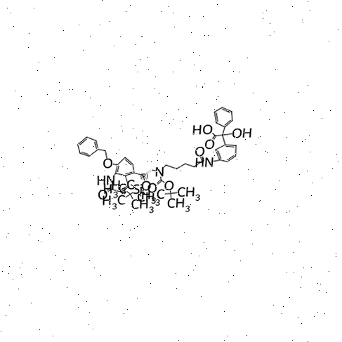 CC(C)(C)OC(=O)N(CCCCC(=O)Nc1cccc(C(O)(C(=O)O)c2ccccc2)c1)C[C@H](O[Si](C)(C)C(C)(C)C)c1ccc(OCc2ccccc2)c2[nH]c(=O)ccc12